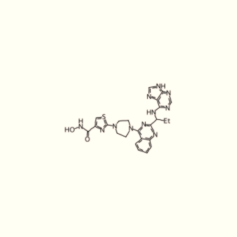 CCC(Nc1ncnc2[nH]cnc12)c1nc(N2CCN(c3nc(C(=O)NO)cs3)CC2)c2ccccc2n1